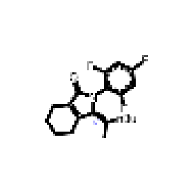 CCCC/C(C)=C1/C2=C(CCCC2)C(=O)N1c1c(F)cc(F)cc1F